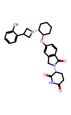 N#Cc1ccccc1C1CN([C@@H]2CCCC[C@H]2Oc2ccc3c(c2)CN([C@@H]2CCC(=O)NC2=O)C3=O)C1